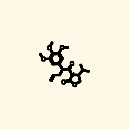 C=CCC(C(=O)N1C(=O)OCC1C(C)C)c1cc(OC)c(OC)c(OC)c1